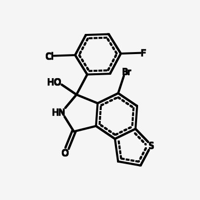 O=C1NC(O)(c2cc(F)ccc2Cl)c2c(Br)cc3sccc3c21